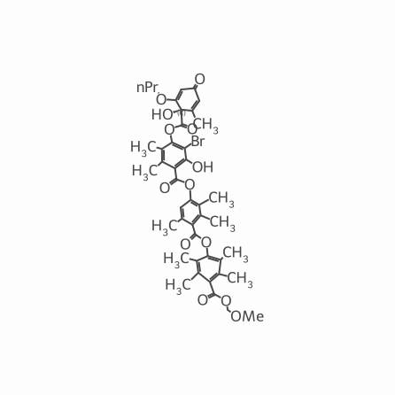 CCCOC1=CC(=O)C=C(C)[C@]1(O)C(=O)Oc1c(C)c(C)c(C(=O)Oc2cc(C)c(C(=O)Oc3c(C)c(C)c(C(=O)OCOC)c(C)c3C)c(C)c2C)c(O)c1Br